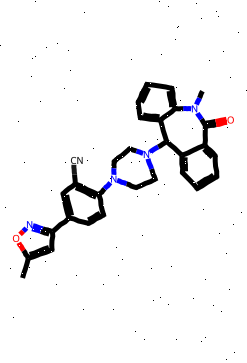 Cc1cc(-c2ccc(N3CCN(C4c5ccccc5C(=O)N(C)c5ccccc54)CC3)c(C#N)c2)no1